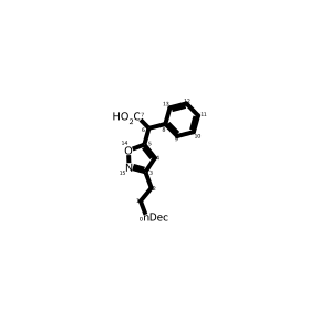 CCCCCCCCCCCCc1cc(C(C(=O)O)c2ccccc2)on1